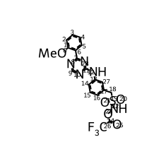 COc1ccccc1-c1ncnc(Nc2cccc(CS(=O)(=O)NOC(=O)C(F)(F)F)c2)n1